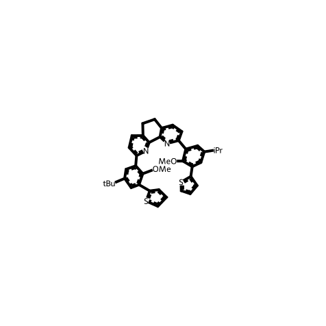 COc1c(-c2ccc3c(n2)-c2nc(-c4cc(C(C)(C)C)cc(-c5cccs5)c4OC)ccc2CC3)cc(C(C)C)cc1-c1cccs1